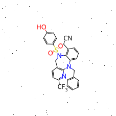 N#CCc1cccc2c1N(S(=O)(=O)c1ccc(O)cc1)Cc1ccc(C(F)(F)F)nc1N2Cc1ccccc1